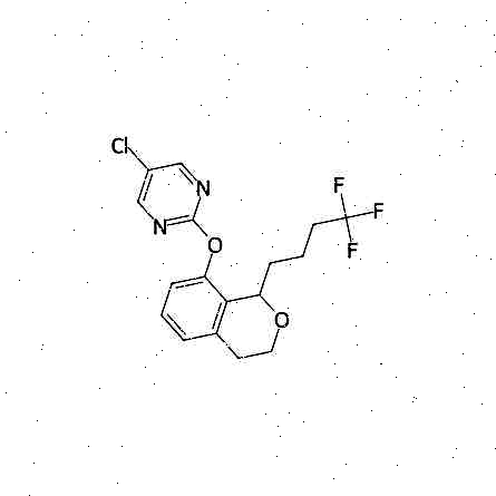 FC(F)(F)CCCC1OCCc2cccc(Oc3ncc(Cl)cn3)c21